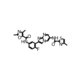 Cc1csc(C(=O)Nc2cnc3nc(-c4cc(NC(=O)c5oc(C)nc5C)ccc4F)cn3c2)n1